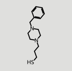 SCCCN1CCN(Cc2ccccc2)CC1